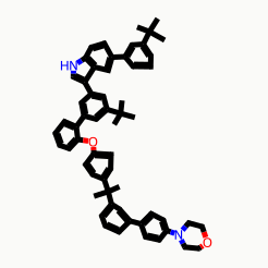 CC(C)(C)c1cccc(-c2ccc3[nH]cc(-c4cc(-c5ccccc5Oc5ccc(C(C)(C)c6cccc(-c7ccc(N8CCOCC8)cc7)c6)cc5)cc(C(C)(C)C)c4)c3c2)c1